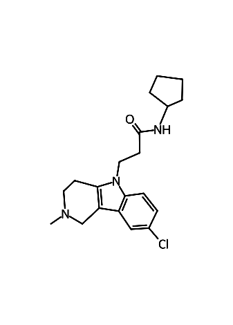 CN1CCc2c(c3cc(Cl)ccc3n2CCC(=O)NC2CCCC2)C1